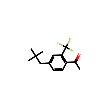 CC(=O)c1ccc(CC(C)(C)C)cc1C(F)(F)F